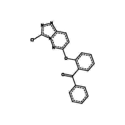 O=C(c1ccccc1)c1ccccc1Oc1ccc2nnc(Cl)n2n1